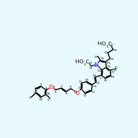 Cc1ccc(OCC=CCOc2ccc(C=Cc3ccc(F)c4c(CCCC(=O)O)c(C)n(CC(=O)O)c34)cc2)c(C)c1